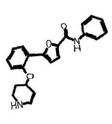 O=C(Nc1ccccc1)c1ccc(-c2ccccc2OC2CCNCC2)o1